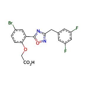 O=C(O)COc1ccc(Br)cc1-c1nc(Cc2cc(F)cc(F)c2)no1